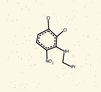 CC(C)CNc1c([N+](=O)[O-])ccc(Cl)c1Cl